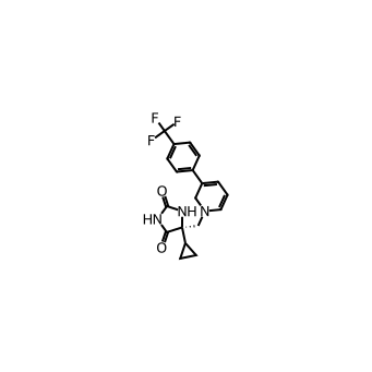 O=C1NC(=O)[C@](CN2C=CC=C(c3ccc(C(F)(F)F)cc3)C2)(C2CC2)N1